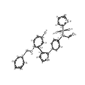 O=CN(c1ccc(-c2sccc2-c2cc(Cl)ccc2OCc2ccccc2)cc1)S(=O)(=O)c1cccs1